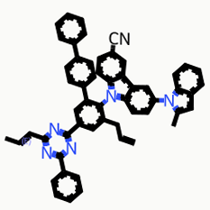 C=CCc1cc(-c2nc(/C=C/C)nc(-c3ccccc3)n2)cc(-c2ccc(-c3ccccc3)cc2)c1-n1c2ccc(C#N)cc2c2cc(-n3c(C)cc4ccccc43)ccc21